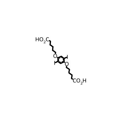 O=C(O)CCCCCOc1cc(I)c(OCCCCCC(=O)O)cc1I